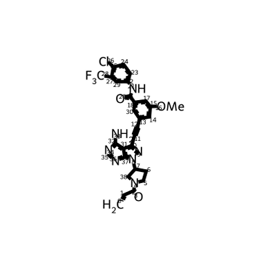 C=CC(=O)N1CCC(n2nc(C#Cc3cc(OC)cc(C(=O)Nc4ccc(Cl)c(C(F)(F)F)c4)c3)c3c(N)ncnc32)C1